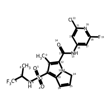 Cc1c(S(=O)(=O)NC(C)C(F)(F)F)c2n(c1C(=O)Nc1cc(F)nc(Cl)c1)CC=C2